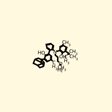 COCCCN(c1ccccc1-c1cc(C)cc(C23CC4CC(CC(C4)C2)C3)c1O)c1cc(C)cc(C(C)(C)C)c1O.[Hf]